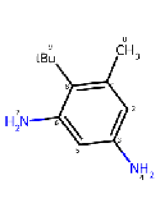 Cc1cc(N)cc(N)c1C(C)(C)C